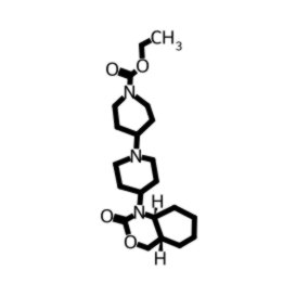 CCOC(=O)N1CCC(N2CCC(N3C(=O)OC[C@H]4CCCC[C@@H]43)CC2)CC1